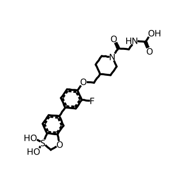 O=C(O)NCC(=O)N1CCC(COc2ccc(-c3ccc4c(c3)OCS4(O)O)cc2F)CC1